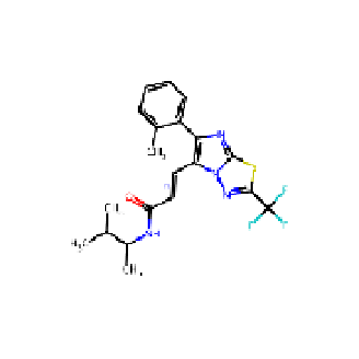 Cc1ccccc1-c1nc2sc(C(F)(F)F)nn2c1/C=C/C(=O)NC(C)C(C)C